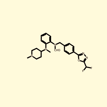 CN1CCC(N(C)c2ccccc2N(C=O)Cc2ccc(-c3nnc(C(F)F)o3)cc2)CC1